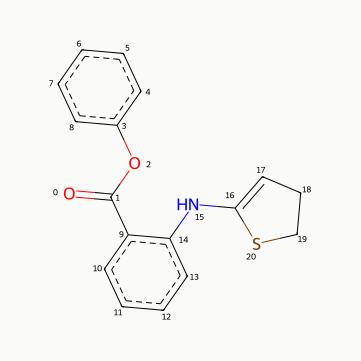 O=C(Oc1ccccc1)c1ccccc1NC1=CCCS1